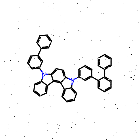 c1ccc(-c2cccc(-n3c4ccccc4c4c5c6ccccc6n(-c6cccc(-c7ccccc7-c7ccccc7)c6)c5ccc43)c2)cc1